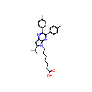 Cc1ccc(-c2nc3cc(C(C)C)n(CCCCCCC(=O)O)c3nc2-c2ccc(C)cc2)cc1